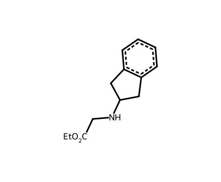 CCOC(=O)CNC1Cc2ccccc2C1